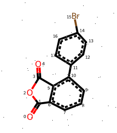 O=C1OC(=O)c2c1cccc2-c1ccc(Br)cc1